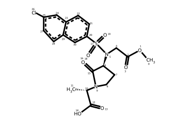 COC(=O)CN([C@H]1CCN([C@@H](C)C(=O)O)C1=O)S(=O)(=O)c1ccc2cc(Cl)ccc2c1